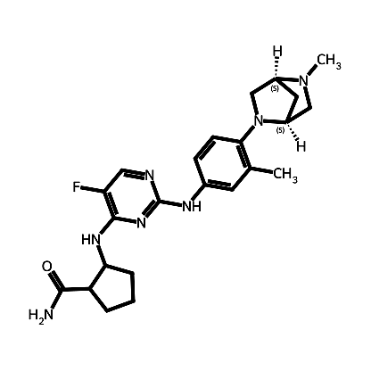 Cc1cc(Nc2ncc(F)c(NC3CCCC3C(N)=O)n2)ccc1N1C[C@@H]2C[C@H]1CN2C